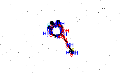 NC(=O)[C@@H]1CCCCn2cc(nn2)C[C@H](NC(=O)COCCOCCOCCNC(=O)CCCCC2SC[C@H]3NC(=O)N[C@@H]23)C(=O)N[C@H](CO)C(=O)N2CCC[C@@H]2C(=O)N[C@H](Cc2c[nH]c3ccccc23)C(=O)N[C@H](Cc2c[nH]c3ccccc23)C(=O)N[C@H](Cc2ccc(F)cc2)C(=O)N1